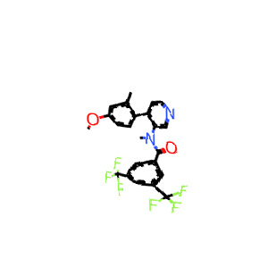 COc1ccc(-c2ccncc2N(C)C(=O)c2cc(C(F)(F)F)cc(C(F)(F)F)c2)c(C)c1